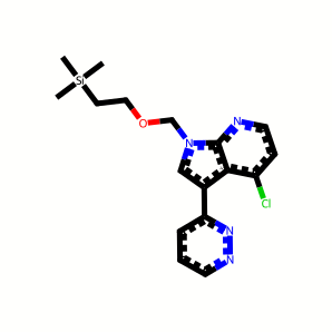 C[Si](C)(C)CCOCn1cc(-c2cccnn2)c2c(Cl)ccnc21